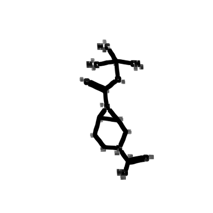 CC(C)(C)OC(=O)N1C2CCN(C(=O)O)CC21